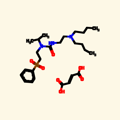 CCCCN(CCCC)CCNC(=O)N(CCS(=O)(=O)c1ccccc1)C(C)C.O=C(O)C=CC(=O)O